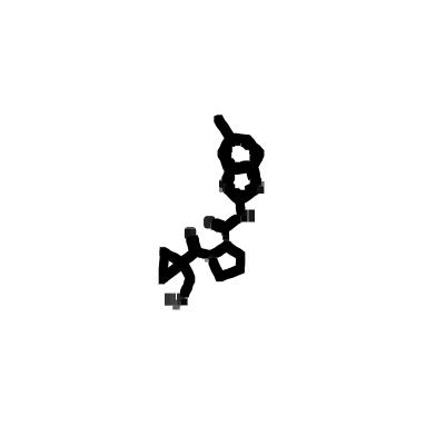 Cc1ccc2nc(NC(=O)[C@@H]3CCCN3C(=O)C3(CN)CC3)sc2c1